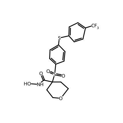 O=C(NO)C1(S(=O)(=O)c2ccc(Sc3ccc(C(F)(F)F)cc3)cc2)CCOCC1